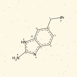 CC(C)Cc1ccc2nc(N)[nH]c2c1